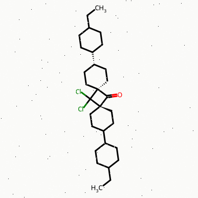 CCC1CCC(C2CC[C@]3(CC2)C(=O)[C@@]2(CC[C@@H](C4CCC(CC)CC4)CC2)C3(Cl)Cl)CC1